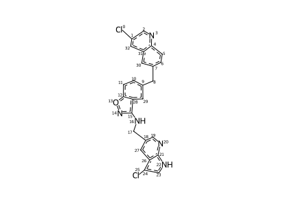 Clc1cnc2ccc(Cc3ccc4onc(NCc5cnc6[nH]cc(Cl)c6c5)c4c3)cc2c1